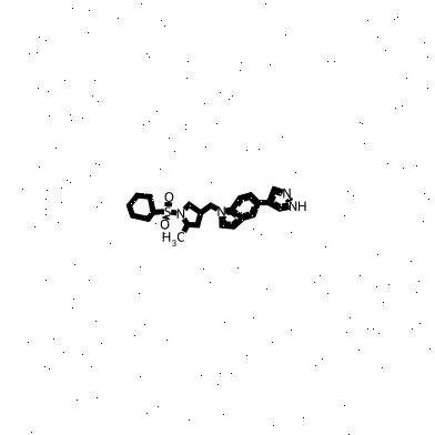 CC1CC(Cn2ccc3cc(-c4cn[nH]c4)ccc32)CN1S(=O)(=O)C1CCCCC1